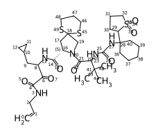 C=CCNC(=O)C(=O)C(CC1CC1)NC(=O)[C@@H]1CC2(CN1C(=O)[C@@H](NC(=O)NC1(C3CCCS3(=O)=O)CCCCC1)C(C)(C)C)SCCCS2